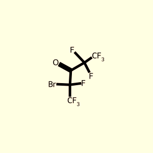 O=C(C(F)(F)C(F)(F)F)C(F)(Br)C(F)(F)F